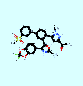 CC(=O)c1cc(-c2ccc(-c3cccc(S(C)(=O)=O)c3)cc2-c2oc(C)nc2-c2ccc3c(c2)OC(F)(F)O3)n(C)n1